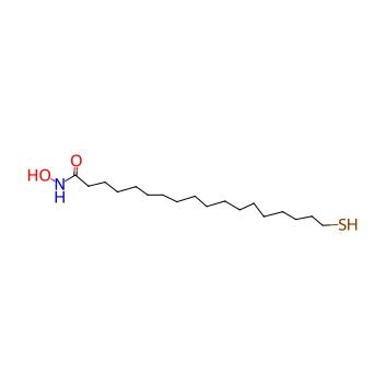 O=C(CCCCCCCCCCCCCCCCCS)NO